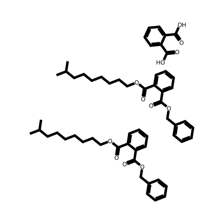 CC(C)CCCCCCCOC(=O)c1ccccc1C(=O)OCc1ccccc1.CC(C)CCCCCCCOC(=O)c1ccccc1C(=O)OCc1ccccc1.O=C(O)c1ccccc1C(=O)O